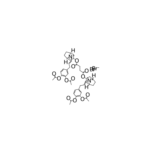 CC(=O)Oc1ccc(CC=C[N+]2(C)[C@@H]3CC[C@H]2CC(OC(=O)CCC(=O)OC2C[C@H]4CC[C@@H](C2)[N+]4(C)C=CCc2ccc(OC(C)=O)c(OC(C)=O)c2)C3)cc1OC(C)=O.[Br-].[Br-]